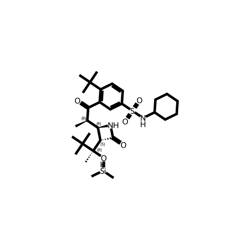 C[C@@H](C(=O)c1cc(S(=O)(=O)NC2CCCCC2)ccc1C(C)(C)C)[C@H]1NC(=O)[C@@H]1[C@@](C)(O[SiH](C)C)C(C)(C)C